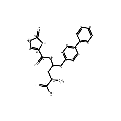 C[C@H](CC(Cc1ccc(-c2ccccc2)cc1)NC(=O)c1c[nH]c(=O)s1)C(=O)O